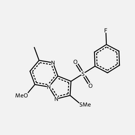 COc1cc(C)nc2c(S(=O)(=O)c3cccc(F)c3)c(SC)nn12